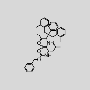 [CH2]C(=O)[C@@H](NC(=O)[C@H](CC(C)C)NC(=O)OCc1ccccc1)C(Cc1ccccc1C)(Cc1ccccc1C)c1ccccc1